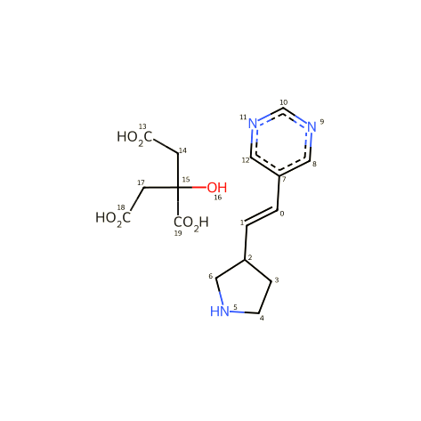 C(=C\C1CCNC1)/c1cncnc1.O=C(O)CC(O)(CC(=O)O)C(=O)O